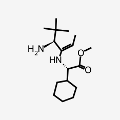 C/C=C(/N[C@H](C(=O)OC)C1CCCCC1)[C@@H](N)C(C)(C)C